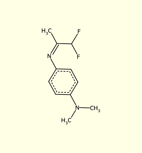 CC(=Nc1ccc(N(C)C)cc1)C(F)F